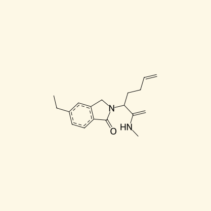 C=CCCC(C(=C)NC)N1Cc2cc(CC)ccc2C1=O